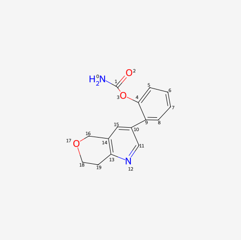 NC(=O)Oc1ccccc1-c1cnc2c(c1)COCC2